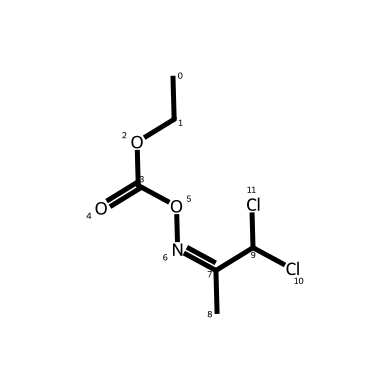 CCOC(=O)ON=C(C)C(Cl)Cl